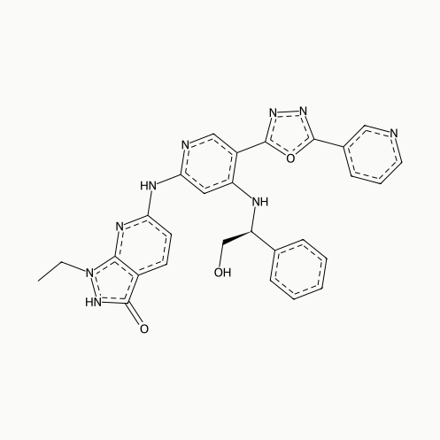 CCn1[nH]c(=O)c2ccc(Nc3cc(N[C@H](CO)c4ccccc4)c(-c4nnc(-c5cccnc5)o4)cn3)nc21